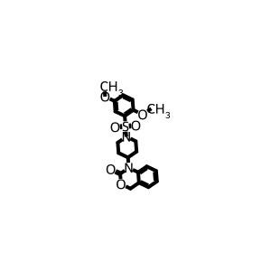 COc1ccc(OC)c(S(=O)(=O)N2CCC(N3C(=O)OCc4ccccc43)CC2)c1